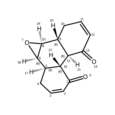 O=C1C=CC[C@H]2[C@H]3O[C@H]3[C@@H]3CC=CC(=O)[C@H]3[C@H]12